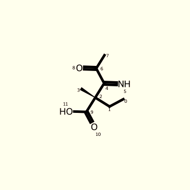 CC[C@@](C)(C(=N)C(C)=O)C(=O)O